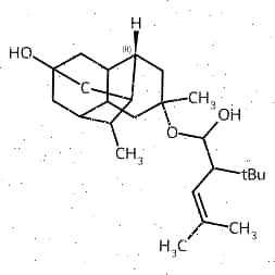 CC(C)=CC(C(O)OC1(C)CC2C3CC4(O)CC(C3C)[C@@H](C1)C2C4)C(C)(C)C